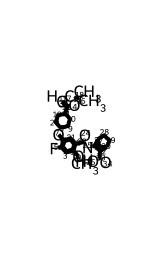 COc1cc(F)c(OC2CCC(C(=O)OC(C)(C)C)CC2)cc1C(=O)NC1C2CCC(C2)C1C(=O)O